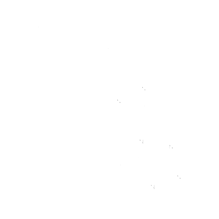 Cn1cnc2ncn(Cc3nc(C4CC(F)(c5ccc(Cl)cc5)C4)no3)c(=O)c21